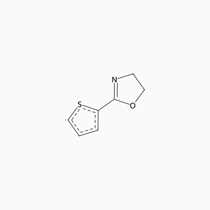 [c]1ccc(C2=NCCO2)s1